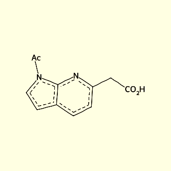 CC(=O)n1ccc2ccc(CC(=O)O)nc21